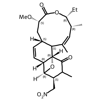 CC[C@H]1OC(=O)[C@@H](OC)C[C@H]2C=C[C@H]3[C@H]4O[C@]2(C(C)=C[C@H]1C)[C@@H]3C(=O)C(C)[C@H]4C[N+](=O)[O-]